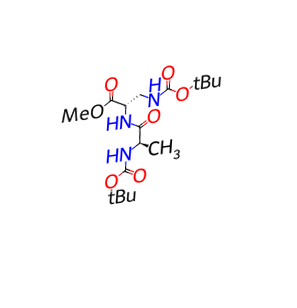 COC(=O)[C@H](CNC(=O)OC(C)(C)C)NC(=O)[C@@H](C)NC(=O)OC(C)(C)C